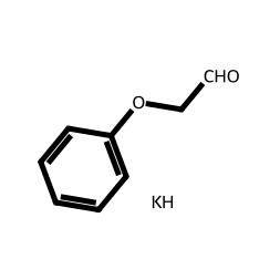 O=CCOc1ccccc1.[KH]